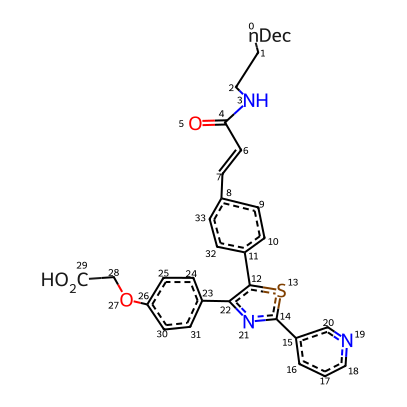 CCCCCCCCCCCCNC(=O)/C=C/c1ccc(-c2sc(-c3cccnc3)nc2-c2ccc(OCC(=O)O)cc2)cc1